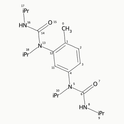 Cc1ccc(N(C(=O)NC(C)C)C(C)C)cc1N(C(=O)NC(C)C)C(C)C